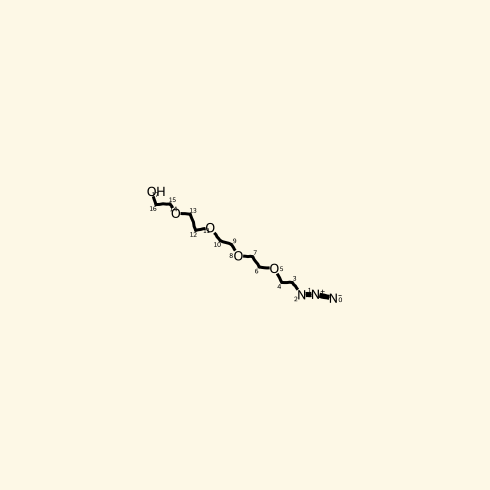 [N-]=[N+]=NCCOCCOCCOCCOCCO